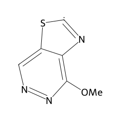 COc1nncc2s[c]nc12